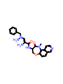 CN1C(=O)C(NC(=O)/C(N)=C/N(N)Cc2ccccc2)COc2ccc3cnccc3c21